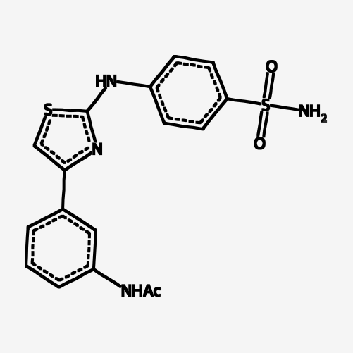 CC(=O)Nc1cccc(-c2csc(Nc3ccc(S(N)(=O)=O)cc3)n2)c1